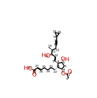 CC(=O)O[C@H]1C[C@@H](O)[C@H](/C=C/[C@@H](O)[C@@H](C)CC#CC2CC2)[C@H]1CCCC/C=C/C(=O)O